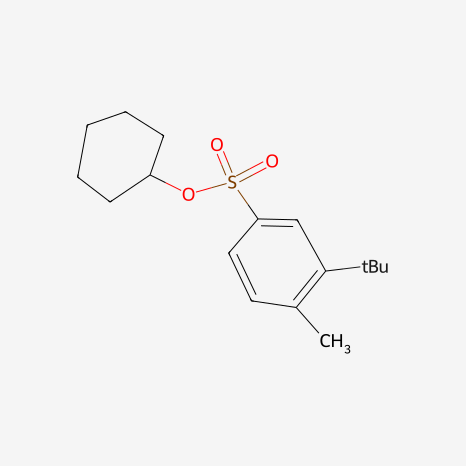 Cc1ccc(S(=O)(=O)OC2CCCCC2)cc1C(C)(C)C